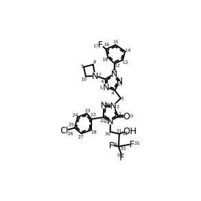 O=c1n(Cc2nc(N3CCC3)n(-c3cccc(F)c3)n2)nc(-c2ccc(Cl)cc2)n1CC(O)C(F)(F)F